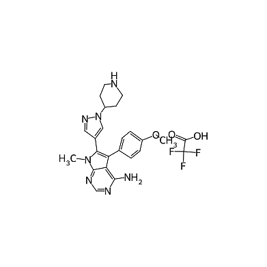 COc1ccc(-c2c(-c3cnn(C4CCNCC4)c3)n(C)c3ncnc(N)c23)cc1.O=C(O)C(F)(F)F